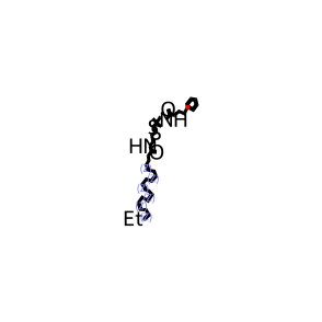 CC/C=C\C/C=C\C/C=C\C/C=C\C/C=C\C/C=C\CCC(=O)NCCSSC(C)(C)CNC(=O)CCCc1ccccc1